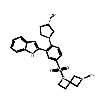 CC(=O)N1CC2(CCN2S(=O)(=O)c2ccc(N3CC[C@H](O)C3)c(-c3cc4ccccc4[nH]3)c2)C1